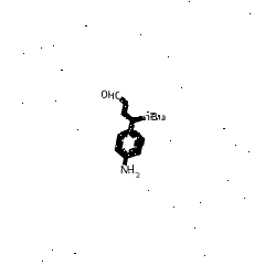 CCCCC(CCC=O)c1ccc(N)cc1